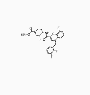 CC(C)(C)OC(=O)N1CCC(NC(=O)C2=CN(Cc3cccc(F)c3F)c3cccc(F)c3O2)C(F)C1